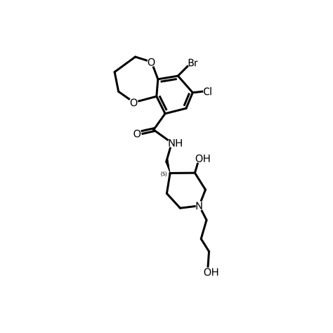 O=C(NC[C@@H]1CCN(CCCO)CC1O)c1cc(Cl)c(Br)c2c1OCCCO2